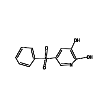 O=S(=O)(c1ccccc1)c1cnc(O)c(O)c1